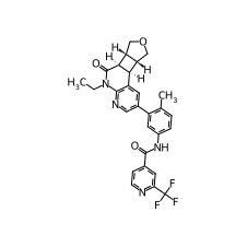 CCN1C(=O)[C@H]2[C@@H]3COC[C@@H]3[C@H]2c2cc(-c3cc(NC(=O)c4ccnc(C(F)(F)F)c4)ccc3C)cnc21